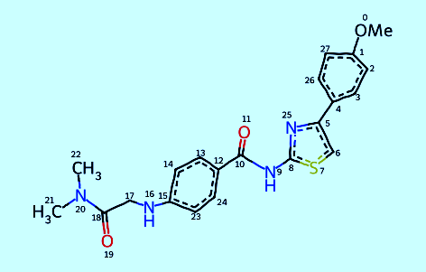 COc1ccc(-c2csc(NC(=O)c3ccc(NCC(=O)N(C)C)cc3)n2)cc1